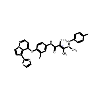 C/C(=C(/C=O)C(=O)Nc1ccc(Oc2ccnn3ccc(-c4nccs4)c23)c(F)c1)N(C)Nc1ccc(F)cc1